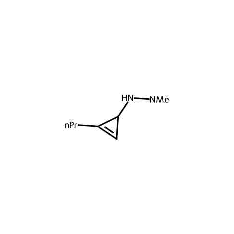 CCCC1=CC1NNC